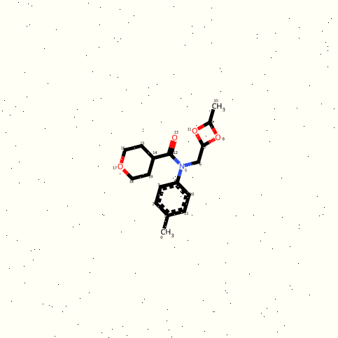 Cc1ccc(N(CC2OC(C)O2)C(=O)C2CCOCC2)cc1